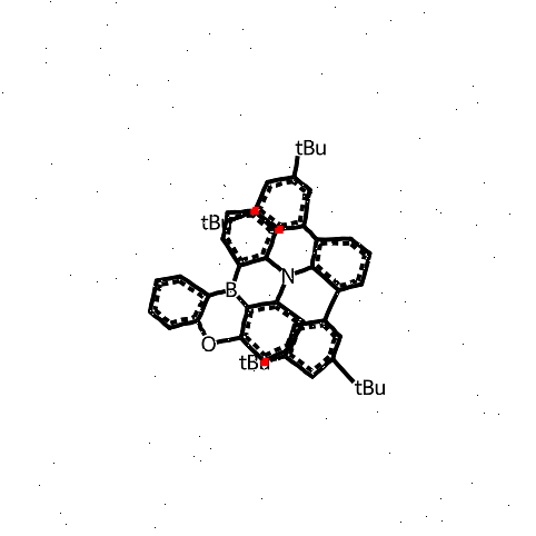 CC(C)(C)c1cc(-c2cccc(-c3cc(C(C)(C)C)cc(C(C)(C)C)c3)c2N2c3ccccc3B3c4ccccc4Oc4cccc2c43)cc(C(C)(C)C)c1